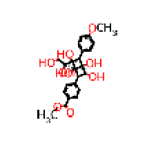 COC(=O)c1ccc(C2C(O)[C@@]3(O)C(c4ccc(OC)cc4)[C@@](O)([C@H](O)CO)[C@@]23O)cc1